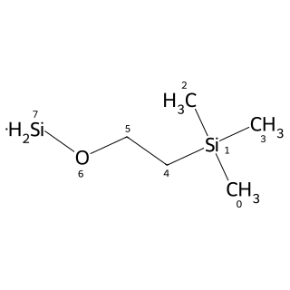 C[Si](C)(C)CCO[SiH2]